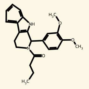 CCCC(=O)N1CCc2c([nH]c3ccccc23)C1c1ccc(OC)c(OC)c1